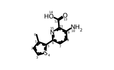 Cc1ccsc1-c1ccc(N)c(C(=O)O)n1